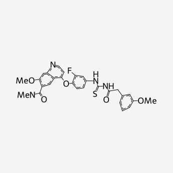 CNC(=O)c1cc2c(Oc3ccc(NC(=S)NC(=O)Cc4cccc(OC)c4)cc3F)ccnc2cc1OC